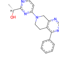 C[C@@H](O)c1nccc(N2CCc3c(ncnc3-c3ccccc3)C2)n1